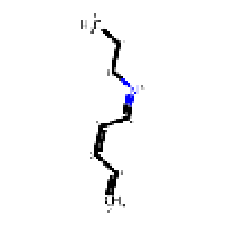 C=C/C=C\C=N/CCC